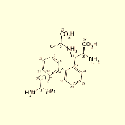 CC(C)[C@H](N)C(=O)O.N[C@@H](Cc1ccccc1)C(=O)O.N[C@@H](Cc1ccccc1)C(=O)O